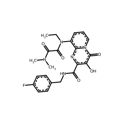 CCN(C(=O)C(=O)N(C)C)c1cccn2c(=O)c(O)c(C(=O)NCc3ccc(F)cc3)nc12